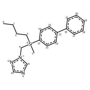 CCCC[Si](C)(Cn1cncn1)c1ccc(-c2ccccc2)cc1